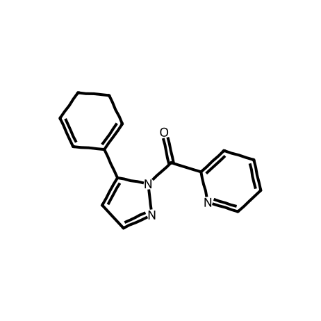 O=C(c1ccccn1)n1nccc1C1=CCCC=C1